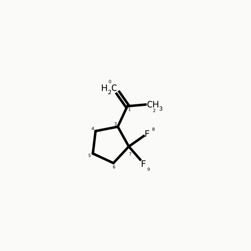 C=C(C)C1CCCC1(F)F